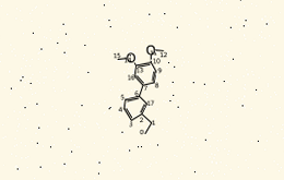 CCc1cccc(-c2ccc(OC)c(OC)c2)c1